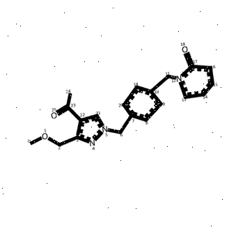 COCc1nn(Cc2ccc(Cn3ccccc3=O)cc2)cc1C(C)=O